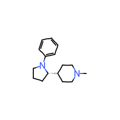 CN1CCC([C@@H]2CCCN2c2ccccc2)CC1